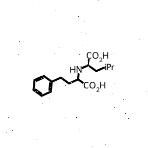 CC(C)C[C@@H](NC(CCc1ccccc1)C(=O)O)C(=O)O